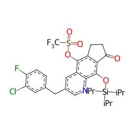 CC(C)[Si](Oc1c2c(c(OS(=O)(=O)C(F)(F)F)c3cc(Cc4ccc(F)c(Cl)c4)cnc13)CCC2=O)(C(C)C)C(C)C